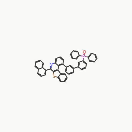 O=P(c1ccccc1)(c1ccccc1)c1cccc(-c2cccc(-c3cccc4nc(-c5cccc6ccccc56)c5sc6ccccc6c5c34)c2)c1